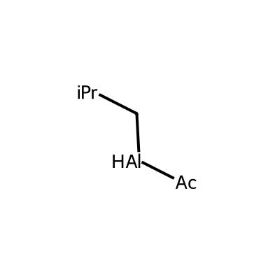 C[C](=O)[AlH][CH2]C(C)C